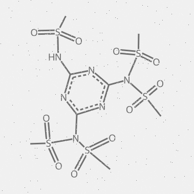 CS(=O)(=O)Nc1nc(N(S(C)(=O)=O)S(C)(=O)=O)nc(N(S(C)(=O)=O)S(C)(=O)=O)n1